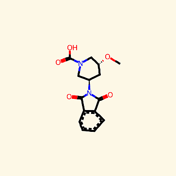 CO[C@@H]1C[C@@H](N2C(=O)c3ccccc3C2=O)CN(C(=O)O)C1